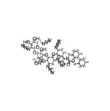 [N-]=[N+]=NC[C@@H]1O[C@H](O[C@H]2[C@@H](O)[C@H](O[C@@H]3[C@@H](O)[C@H](N=[N+]=[N-])C[C@H](N=[N+]=[N-])[C@H]3O[C@H]3O[C@H]([C@@H](CF)N(Cc4ccccc4)C(=O)OCc4ccccc4)CC[C@H]3N=[N+]=[N-])O[C@@H]2CO)[C@H](N=[N+]=[N-])[C@@H](O)[C@@H]1O